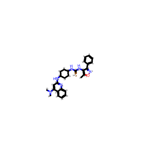 Cc1onc(-c2ccccc2)c1NC(=S)NC1CCC(Nc2cc(N(C)C)c3ccccc3n2)CC1